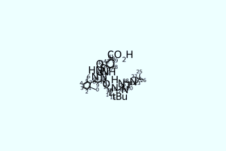 Cc1cccc(C)c1-c1cc(OC[C@@H](CC(C)(C)C)NCc2ncc(N3CC(C)(C)C3)cn2)nc(NS(=N)(=O)c2cccc(C(=O)O)c2)n1